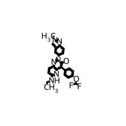 CCNc1ccc2nn(-c3ccc4nn(C)cc4c3)c(=O)c(-c3ccc(OC(F)F)cc3)c2n1